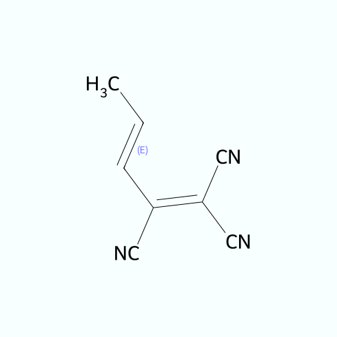 C/C=C/C(C#N)=C(C#N)C#N